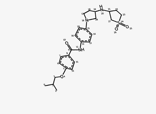 CC(C)COc1ccc(C(=O)Nc2ccc(N3CCC(NC4CCS(=O)(=O)C4)C3)cc2)cc1